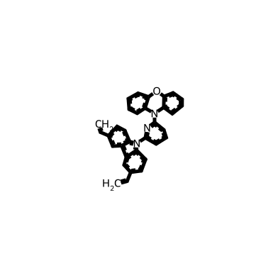 C=Cc1ccc2c(c1)c1cc(C=C)ccc1n2-c1cccc(N2c3ccccc3Oc3ccccc32)n1